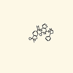 CN1Cc2cc(Nn3c(=O)nc(N4N=CCC4c4ccccc4)c4sccc43)ccc2C1=O